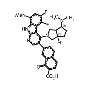 CNc1cc(F)c(F)c2c1[nH]c1ncc(-c3ccc4ccc(C(=O)O)c(=O)n4c3)c(N3CC4[C@H](CC[C@@H]4N(C)C)C3)c12